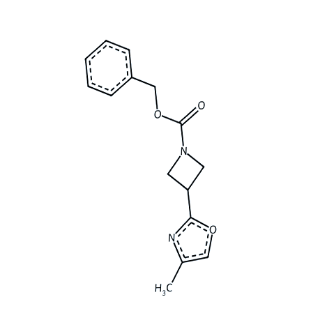 Cc1coc(C2CN(C(=O)OCc3ccccc3)C2)n1